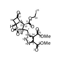 COC(=O)c1nnn(C[C@@]2(C)[C@H](C(=O)OCI)N3C(=O)C[C@H]3S2(=O)=O)c1C(=O)OC